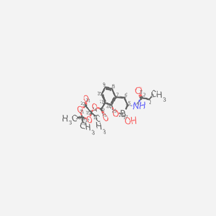 CCC(=O)N[C@H]1Cc2cccc(C(=O)OC3(C)OC(C)(C)OC3=O)c2OB1O